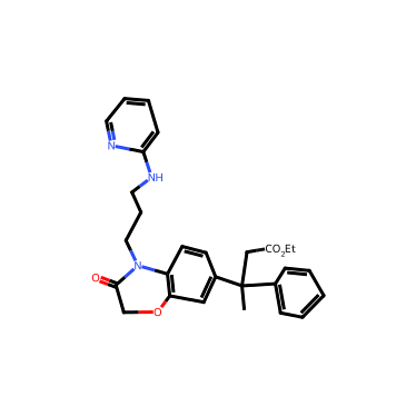 CCOC(=O)CC(C)(c1ccccc1)c1ccc2c(c1)OCC(=O)N2CCCNc1ccccn1